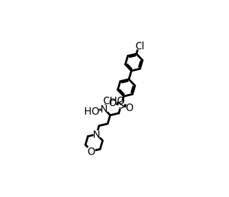 O=CN(O)C(CCN1CCOCC1)CS(=O)(=O)c1ccc(-c2ccc(Cl)cc2)cc1